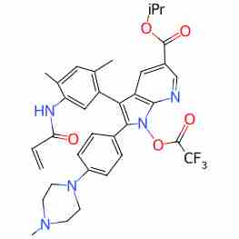 C=CC(=O)Nc1cc(-c2c(-c3ccc(N4CCN(C)CC4)cc3)n(OC(=O)C(F)(F)F)c3ncc(C(=O)OC(C)C)cc23)c(C)cc1C